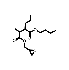 CCCCOC(=O)C(CCC)C(C)C(=O)OCC1CO1